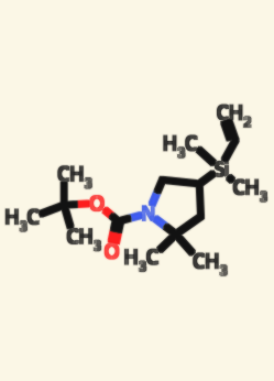 C=C[Si](C)(C)C1CN(C(=O)OC(C)(C)C)C(C)(C)C1